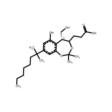 CCCCCCC(C)(C)c1cc(O)c2c(c1)OC(C)(C)OC(CCC(=O)O)[C@H]2CO